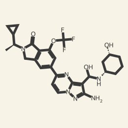 C[C@@H](C1CC1)N1Cc2cc(-c3ccn4nc(N)c(C(O)N[C@H]5CCC[C@@H](O)C5)c4n3)cc(OC(F)(F)F)c2C1=O